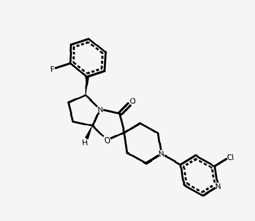 O=C1N2[C@@H](CC[C@H]2c2ccccc2F)OC12CCN(c1ccnc(Cl)c1)CC2